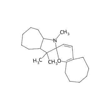 CN1C2CCCCCC2C(C)(C)C12C=CC1=C(CCCCCC1)O2